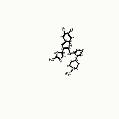 CN1CCC(n2nnnc2Sc2nc3cc(Cl)c(Cl)cc3nc2-c2cnc(O)s2)CC1